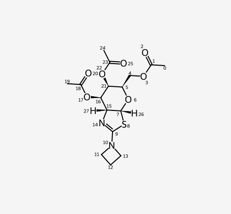 CC(=O)OC[C@H]1O[C@@H]2SC(N3CCC3)=N[C@@H]2[C@@H](OC(C)=O)[C@H]1OC(C)=O